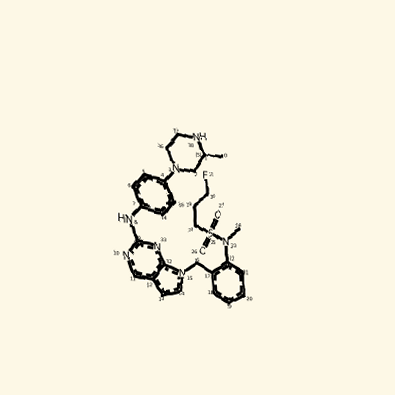 C[C@H]1CN(c2ccc(Nc3ncc4ccn(Cc5ccccc5N(C)S(=O)(=O)CCCF)c4n3)cc2)CCN1